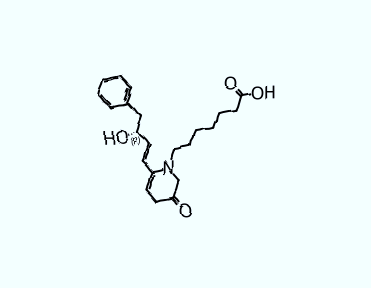 O=C(O)CCCCCCN1CC(=O)CC=C1C=C[C@H](O)Cc1ccccc1